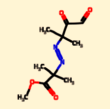 COC(=O)C(C)(C)N=NC(C)(C)C(=O)C=O